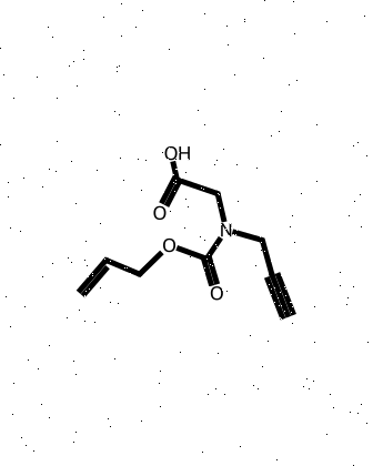 C#CCN(CC(=O)O)C(=O)OCC=C